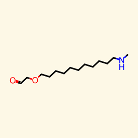 CNCCCCCCCCCCCOCC=O